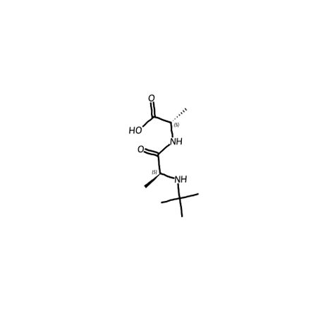 C[C@H](NC(=O)[C@H](C)NC(C)(C)C)C(=O)O